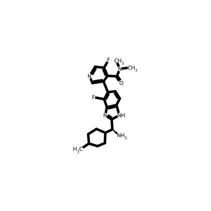 CC1CCC([C@H](N)c2nc3c(F)c(-c4cncc(F)c4C(=O)N(C)C)ccc3[nH]2)CC1